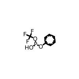 OP(Oc1ccccc1)OC(F)(F)F